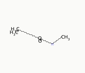 CCCCCCCC/C=C\CCCCCCCC(=O)OCCCCCCCCCCCCCCC(C)CC